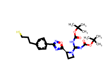 CC(C)(C)OC(=O)/N=C(\NC(=O)OC(C)(C)C)N1CC[C@H]1c1nc(-c2ccc(CCCS)cc2)no1